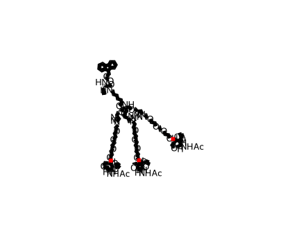 C#CC[C@H](NC(=O)OCC1c2ccccc2-c2ccccc21)C(=O)NCCCCCC(=O)NC(COCc1cn(CCOCCOCCOCCOC[C@@]23CO[C@H](O2)[C@H](NC(C)=O)[C@H]2OC(C)(C)O[C@H]23)nn1)(COCc1cn(CCOCCOCCOCCOC[C@@]23CO[C@H](O2)[C@H](NC(C)=O)[C@H]2OC(C)(C)O[C@H]23)nn1)COCc1cn(CCOCCOCCOCCOC[C@@]23CO[C@@H](O2)[C@H](NC(C)=O)[C@H]2OC(C)(C)O[C@H]23)nn1